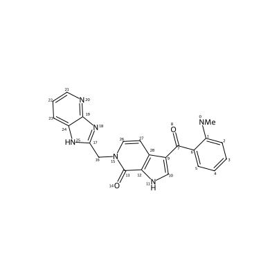 CNc1ccccc1C(=O)c1c[nH]c2c(=O)n(Cc3nc4ncccc4[nH]3)ccc12